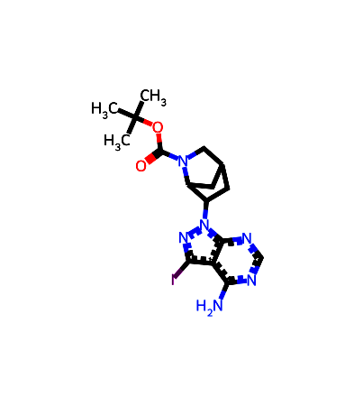 CC(C)(C)OC(=O)N1CC2CC1C(n1nc(I)c3c(N)ncnc31)C2